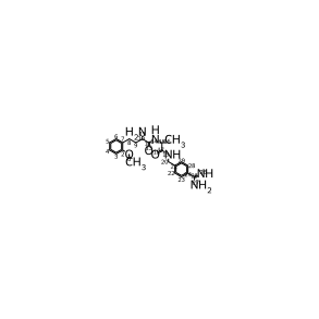 COc1ccccc1CC[C@@H](N)C(=O)N[C@@H](C)C(=O)NCc1ccc(C(=N)N)cc1